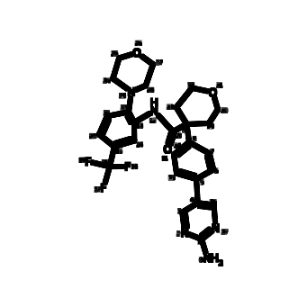 Nc1ncc(-c2ccc(C3(C(=O)Nc4cc(C(F)(F)F)ccc4N4CCOCC4)CCOCC3)cc2)cn1